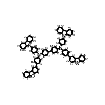 c1ccc2c(c1)oc1ccc(-c3ccc(N(c4ccc(-c5ccc(N(c6ccc(-c7ccc8oc9ccccc9c8c7)cc6)c6ccc(-n7c8ccccc8c8ccccc87)cc6)cc5)cc4)c4ccc(-n5c6ccccc6c6ccccc65)cc4)cc3)cc12